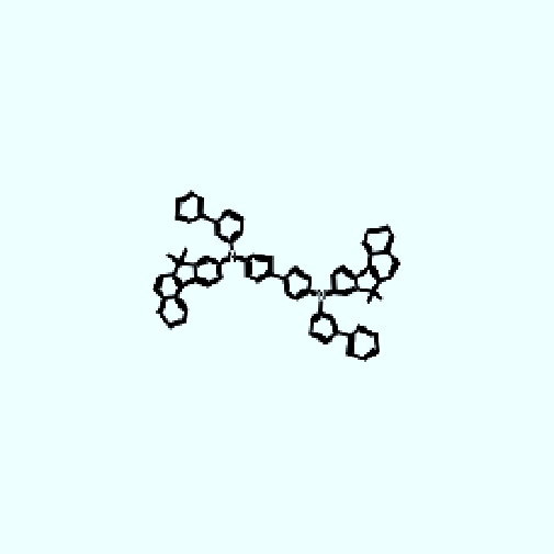 CC1(C)c2cc(N(c3ccc(-c4ccc(N(c5cccc(-c6ccccc6)c5)c5ccc6c(c5)C(C)(C)c5ccc7ccccc7c5-6)cc4)cc3)c3cccc(-c4ccccc4)c3)ccc2-c2c1ccc1ccccc21